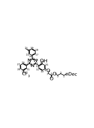 CCCCCCCCCCCCCOC(=O)COc1ccc(-c2nc(-c3cccc(C)c3)nc(-c3cccc(C(F)(F)F)c3)n2)c(O)c1